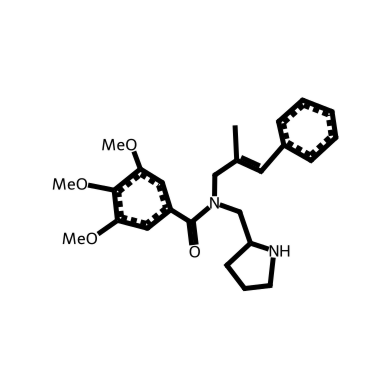 COc1cc(C(=O)N(CC(C)=Cc2ccccc2)CC2CCCN2)cc(OC)c1OC